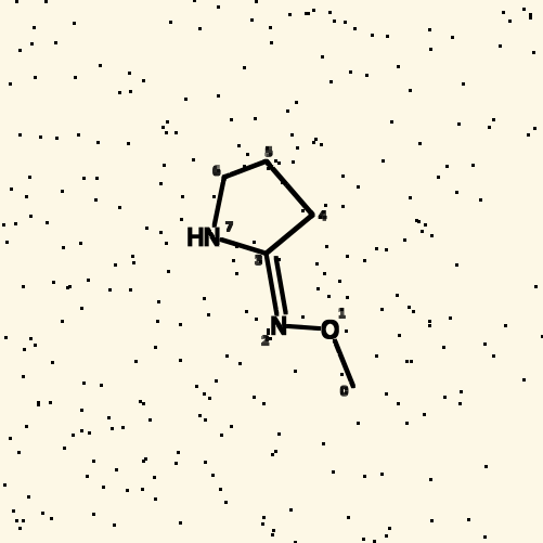 CO/N=C1\CCCN1